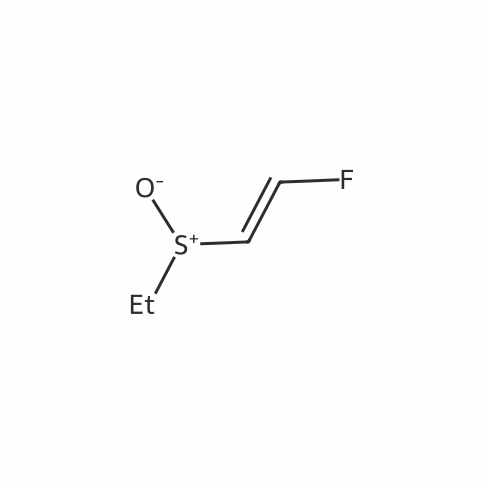 CC[S+]([O-])C=CF